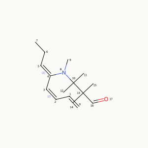 C=C/C=C\C(=C\CC)N(C)C(C)(C)C(C)(C)C=O